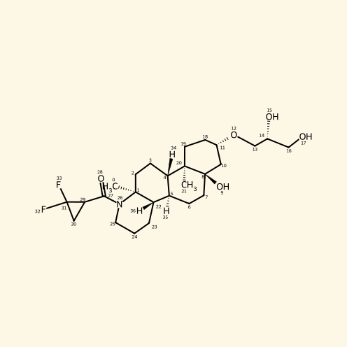 C[C@]12CC[C@H]3[C@@H](CC[C@@]4(O)C[C@@H](OC[C@H](O)CO)CC[C@]34C)[C@@H]1CCCN2C(=O)C1CC1(F)F